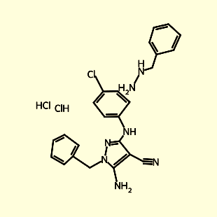 Cl.Cl.N#Cc1c(Nc2ccc(Cl)cc2)nn(Cc2ccccc2)c1N.NNCc1ccccc1